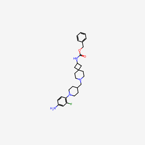 Nc1ccc(N2CCC(CN3CCC4(CC3)CC(NC(=O)OCc3ccccc3)C4)CC2)c(F)c1